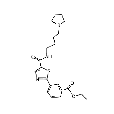 CCOC(=O)c1cccc(-c2nc(C)c(C(=O)NCCCCN3CCCC3)s2)c1